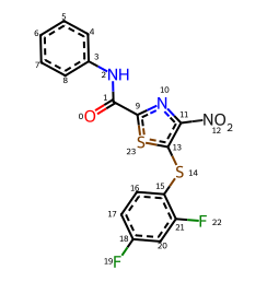 O=C(Nc1ccccc1)c1nc([N+](=O)[O-])c(Sc2ccc(F)cc2F)s1